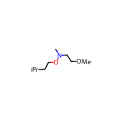 COCCN(C)OCCC(C)C